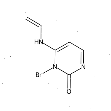 C=CNc1ccnc(=O)n1Br